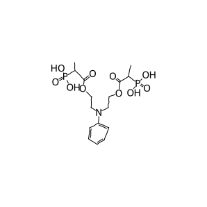 CC(C(=O)OCCN(CCOC(=O)C(C)P(=O)(O)O)c1ccccc1)P(=O)(O)O